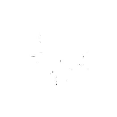 CC(C=O)CC1=CCC(C(C)C)C1